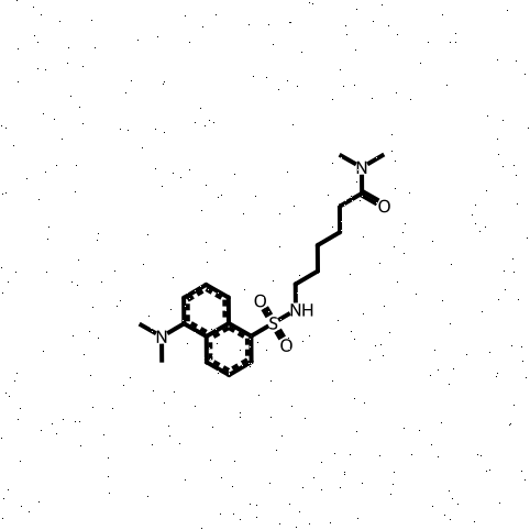 CN(C)C(=O)CCCCCNS(=O)(=O)c1cccc2c(N(C)C)cccc12